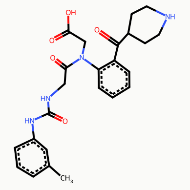 Cc1cccc(NC(=O)NCC(=O)N(CC(=O)O)c2ccccc2C(=O)C2CCNCC2)c1